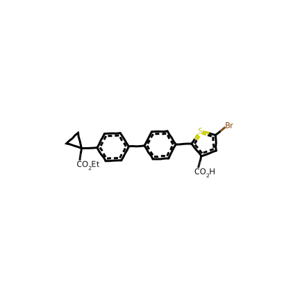 CCOC(=O)C1(c2ccc(-c3ccc(-c4sc(Br)cc4C(=O)O)cc3)cc2)CC1